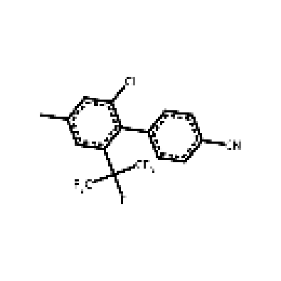 Cc1[c]c(Cl)c(-c2ccc(C#N)cc2)c(C(F)(C(F)(F)F)C(F)(F)F)c1